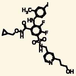 Cc1cc(I)ccc1Nc1c(C(=O)NOCC2CC2)cc(S(=O)(=O)NCc2ccnc(CCCO)c2)c(F)c1F